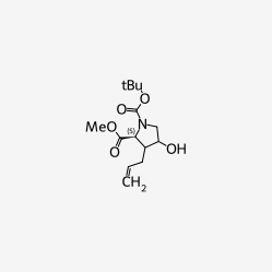 C=CCC1C(O)CN(C(=O)OC(C)(C)C)[C@@H]1C(=O)OC